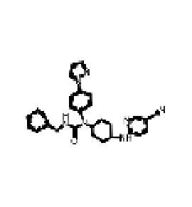 N#Cc1ccc(NC2CCC(N(C(=O)NCc3ccccc3)c3ccc(-n4cccn4)cc3)CC2)nc1